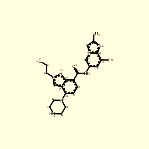 Cc1cn2cc(NC(=O)c3ccc(N4CCNCC4)c4cn(CCO)nc34)cc(F)c2n1